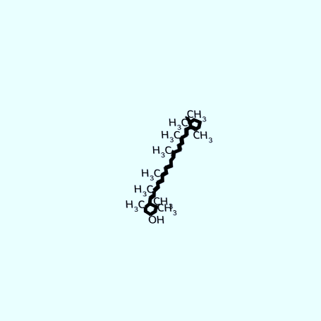 CCC1(C)CCCC(C)=C1/C=C/C(C)=C/C=C/C(C)=C/C/C=C/C=C(C)/C=C/C=C(C)/C=C/C1C(C)CC(O)CC1(C)C